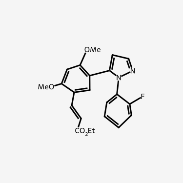 CCOC(=O)C=Cc1cc(-c2ccnn2-c2ccccc2F)c(OC)cc1OC